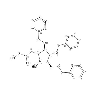 CC(C)(C)N1[C@H](COCc2ccccc2)[C@@H](OCc2ccccc2)[C@H](OCc2ccccc2)[C@H]1CC(O)CO